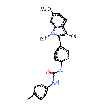 CCn1c(-c2ccc(NC(=O)Nc3ccc(C)cc3)cc2)c(C#N)c2ccc(OC)cc21